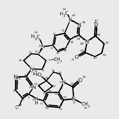 C[C@@H]1CN(c2ncc(Cl)c(Nc3ccc4c(c3)n(CCC3(O)CCC3)c(=O)n4C)n2)CC[C@H]1N(C)c1ccc2c(N3C(=O)CCCC3=O)nn(C)c2c1